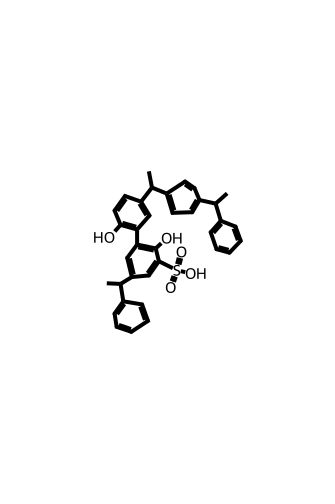 CC(c1ccccc1)c1ccc(C(C)c2ccc(O)c(-c3cc(C(C)c4ccccc4)cc(S(=O)(=O)O)c3O)c2)cc1